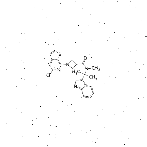 CN(C(=O)C1CN(c2nc(Cl)nc3ccsc23)C1)C(C)(C)c1cnc2ccccn12